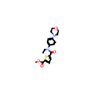 CCN(C(=O)c1ccc(C(=O)OC)s1)c1ccc(N2CCOCC2)cc1